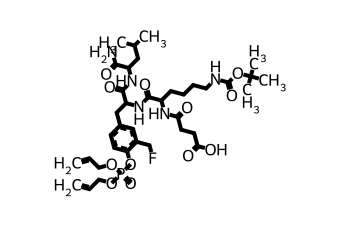 C=CCOP(=O)(OCC=C)Oc1ccc(CC(NC(=O)C(CCCCNC(=O)OC(C)(C)C)NC(=O)CCC(=O)O)C(=O)NC(CC(C)C)C(N)=O)cc1CF